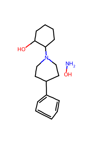 NO.OC1CCCCC1N1CCC(c2ccccc2)CC1